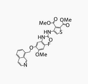 COC(=O)c1scc(NC(=O)Nc2cc(OCc3cccc4ccncc34)c(OC)cc2F)c1C(=O)OC